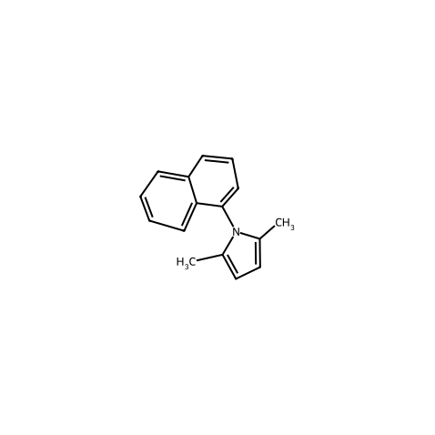 Cc1ccc(C)n1-c1cccc2ccccc12